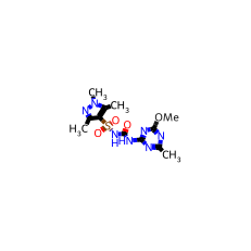 COc1nc(C)nc(NC(=O)NS(=O)(=O)c2c(C)nn(C)c2C)n1